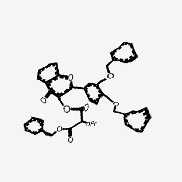 CCCC(C(=O)OCc1ccccc1)C(=O)Oc1c(-c2ccc(OCc3ccccc3)c(OCc3ccccc3)c2)oc2ccccc2c1=O